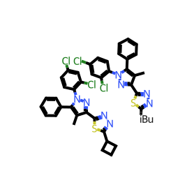 CCC(C)c1nnc(-c2nn(-c3ccc(Cl)cc3Cl)c(-c3ccccc3)c2C)s1.Cc1c(-c2nnc(C3CCC3)s2)nn(-c2ccc(Cl)cc2Cl)c1-c1ccccc1